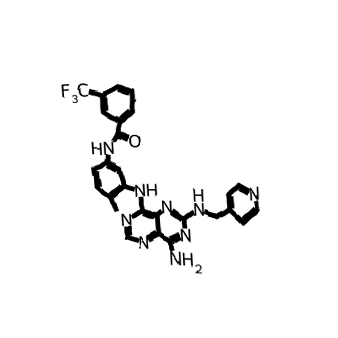 Cc1ccc(NC(=O)c2cccc(C(F)(F)F)c2)cc1Nc1ncnc2c(N)nc(NCc3ccncc3)nc12